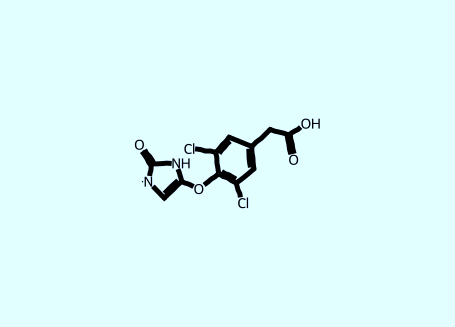 O=C(O)Cc1cc(Cl)c(OC2=C[N]C(=O)N2)c(Cl)c1